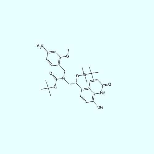 COc1cc(N)ccc1CN(C[C@H](O[Si](C)(C)C(C)(C)C)c1ccc(O)c2[nH]c(=O)ccc12)C(=O)OC(C)(C)C